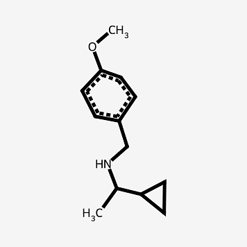 COc1ccc(CNC(C)C2CC2)cc1